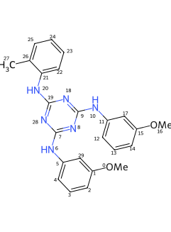 COc1cccc(Nc2nc(Nc3cccc(OC)c3)nc(Nc3ccccc3C)n2)c1